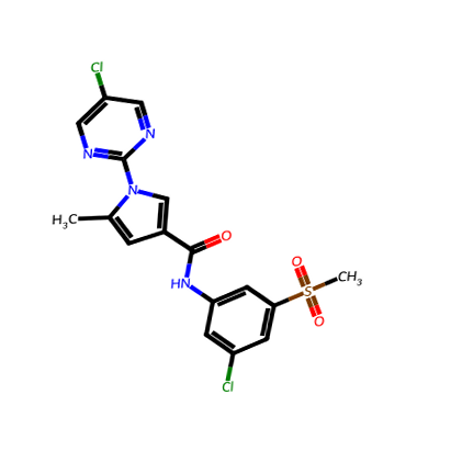 Cc1cc(C(=O)Nc2cc(Cl)cc(S(C)(=O)=O)c2)cn1-c1ncc(Cl)cn1